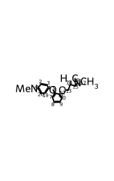 CNc1ccc(Oc2ccccc2OCCCN(C)C)cc1